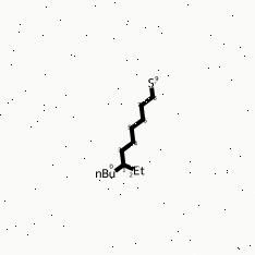 CCCCC(CC)CCCCCC[S]